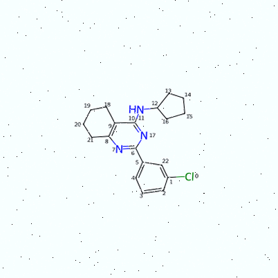 Clc1cccc(-c2nc3c(c(NC4CCCC4)n2)CCCC3)c1